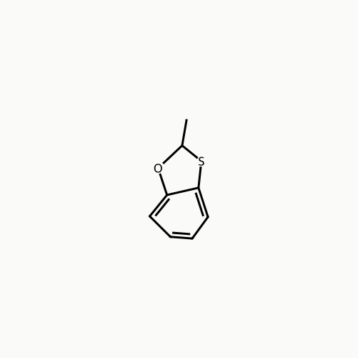 CC1Oc2ccccc2S1